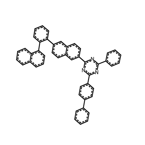 c1ccc(-c2ccc(-c3nc(-c4ccccc4)nc(-c4ccc5cc(-c6ccccc6-c6cccc7ccccc67)ccc5c4)n3)cc2)cc1